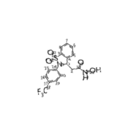 O=C(CC1c2ccccc2S(=O)(=O)N1c1ccc(C(F)(F)F)cc1)NO